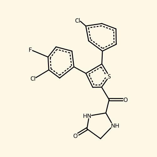 O=C1CNC(C(=O)c2cc(-c3ccc(F)c(Cl)c3)c(-c3cccc(Cl)c3)s2)N1